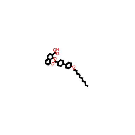 CCCCCCCCCCOc1ccc(C2CCC(C(=O)OC3c4ccccc4CCC3C(=O)O)CC2)cc1